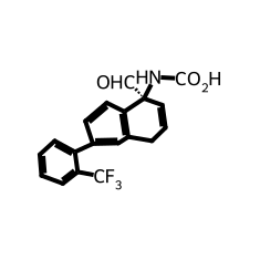 O=C[C@]1(NC(=O)O)C=CCc2cc(-c3ccccc3C(F)(F)F)ccc21